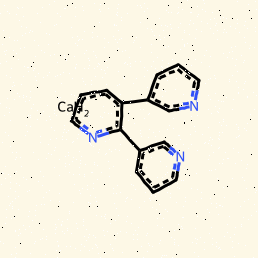 [CaH2].c1cncc(-c2cccnc2-c2cccnc2)c1